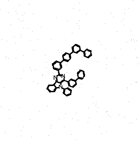 c1ccc(-c2cccc(-c3ccc(-c4cccc(-c5nc(-c6cccc(-c7ccccc7)c6)c6c(n5)c5ccccc5n6-c5ccccc5)c4)cc3)c2)cc1